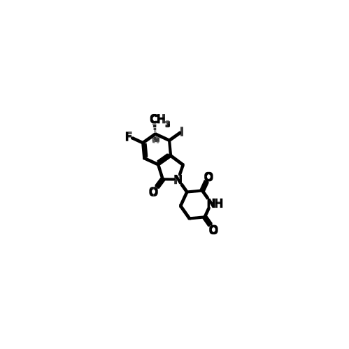 C[C@H]1C(F)=CC2=C(CN(C3CCC(=O)NC3=O)C2=O)C1I